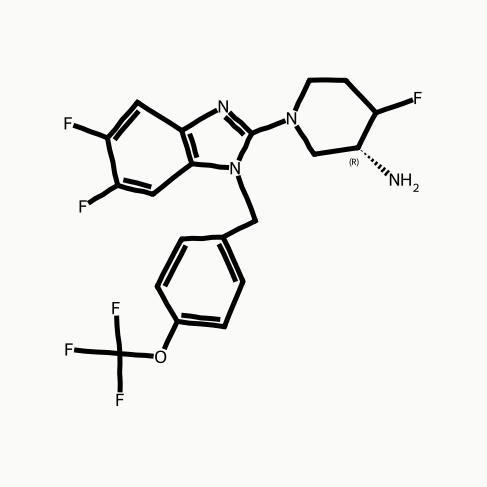 N[C@@H]1CN(c2nc3cc(F)c(F)cc3n2Cc2ccc(OC(F)(F)F)cc2)CCC1F